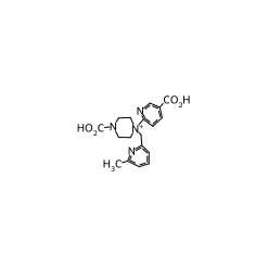 Cc1cccc(C[N+]2(c3ccc(C(=O)O)cn3)CCN(C(=O)O)CC2)n1